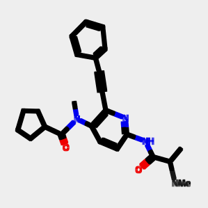 CNC(C)C(=O)Nc1ccc(N(C)C(=O)C2CCCC2)c(C#Cc2ccccc2)n1